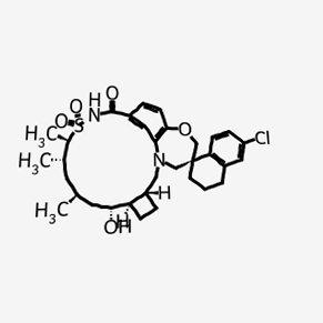 C[C@@H]1C[C@@H](O)[C@@H]2CC[C@H]2CN2C[C@@]3(CCCc4cc(Cl)ccc43)COc3ccc(cc32)C(=O)NS(=O)(=O)[C@H](C)[C@@H](C)C1